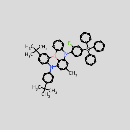 Cc1cc2c3c(c1)N(c1ccc([Si](c4ccccc4)(c4ccccc4)c4ccccc4)cc1F)c1ccccc1B3c1cc(C(C)(C)C)ccc1N2c1ccc(C(C)(C)C)cc1